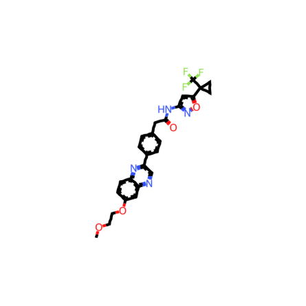 COCCOc1ccc2nc(-c3ccc(CC(=O)Nc4cc(C5(C(F)(F)F)CC5)on4)cc3)cnc2c1